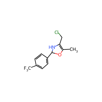 CC1=C(CCl)NC(c2ccc(C(F)(F)F)cc2)O1